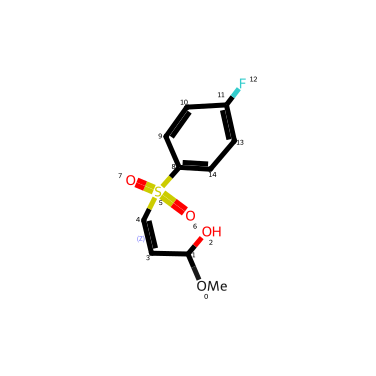 COC(O)/C=C\S(=O)(=O)c1ccc(F)cc1